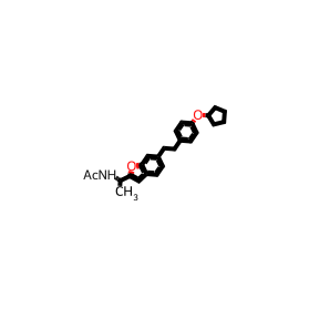 CC(=O)NC(C)c1cc2ccc(CCc3ccc(OC4CCCC4)cc3)cc2o1